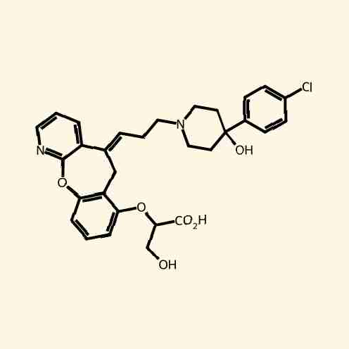 O=C(O)C(CO)Oc1cccc2c1CC(=CCCN1CCC(O)(c3ccc(Cl)cc3)CC1)c1cccnc1O2